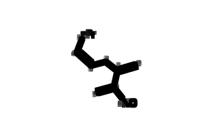 C=C(C/C=C\CCC)C(=C)N=O